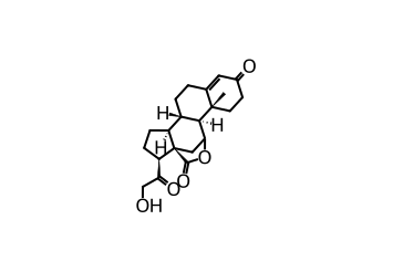 C[C@]12CCC(=O)C=C1CC[C@H]1[C@@H]3CC[C@H](C(=O)CO)[C@@]34CC(OC4=O)[C@@H]12